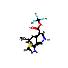 CC(C)Cc1c(C(=O)OC(F)(F)F)cncc1C1=NCCS1